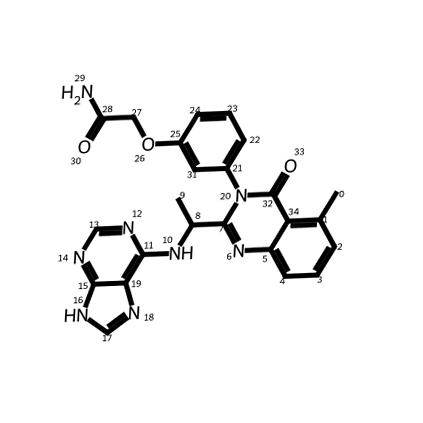 Cc1cccc2nc(C(C)Nc3ncnc4[nH]cnc34)n(-c3cccc(OCC(N)=O)c3)c(=O)c12